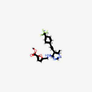 COC(=O)c1ccc(CNc2ncnc(C)c2C#Cc2ccc(C(F)(F)F)cc2)o1